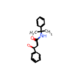 CC(C)(NC(=O)CC(=O)c1ccccc1)c1ccccc1